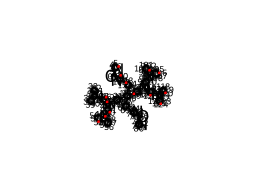 O=C(c1ccccn1)c1ccc(-c2cccc(-c3cc(-c4ccc(-n5c6ccc(-n7c8ccccc8c8ccccc87)cc6c6cc(-n7c8ccccc8c8ccccc87)ccc65)cc4)c(-c4cccc(-c5ccc(C(=O)c6ccccn6)nc5)c4)cc3-c3ccc(-n4c5ccc(-n6c7ccccc7c7ccccc76)cc5c5cc(-n6c7ccccc7c7ccccc76)ccc54)cc3)c2)cn1